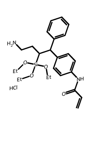 C=CC(=O)Nc1ccc(C(c2ccccc2)C(CCN)[Si](OCC)(OCC)OCC)cc1.Cl